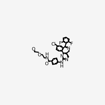 O=CCOCCNC(=O)c1ccc(Nc2ncc3c(n2)-c2ccc(Cl)cc2C(c2c(F)cccc2F)=NC3)cc1